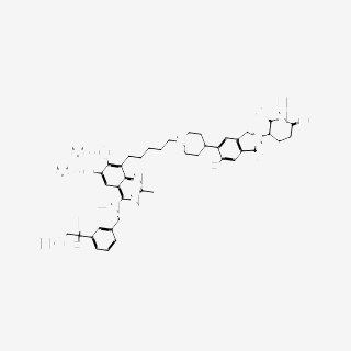 COc1cc2c(N[C@H](C)c3cccc(C(F)(F)CO)c3)nc(C)nc2c(CCCCCN2CCC(c3cc4c(cc3F)C(=O)N(C3CCC(=O)NC3=O)C4)CC2)c1OC